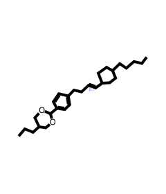 CCCCCC1CCC(/C=C/CCc2ccc(C3OCC(CCC)CO3)cc2)CC1